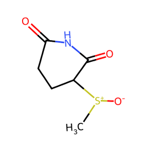 C[S+]([O-])C1CCC(=O)NC1=O